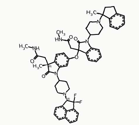 CNC(=O)CC1(Oc2ccc3c(c2)N(C2CCN([C@@H]4c5cccc6cccc(c56)C4(F)F)CC2)C(=O)[C@]3(C)CC(=O)NC)C(=O)N(C2CCN(C3(C)CCc4ccccc43)CC2)c2ccccc21